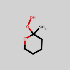 OOC1([SiH3])CCCCO1